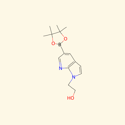 CC1(C)OB(c2cnc3c(ccn3CCO)c2)OC1(C)C